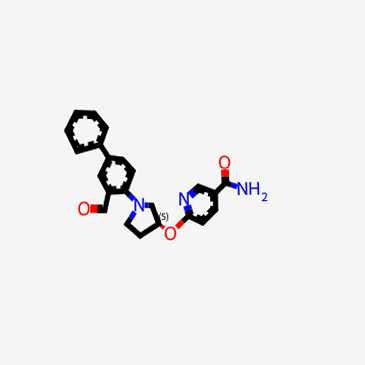 NC(=O)c1ccc(O[C@H]2CCN(c3ccc(-c4ccccc4)cc3C=O)C2)nc1